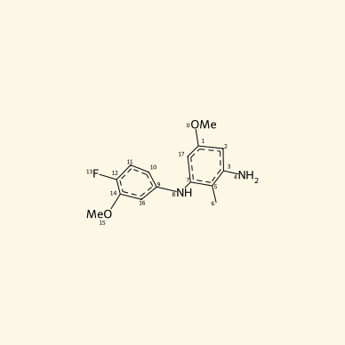 COc1cc(N)c(C)c(Nc2ccc(F)c(OC)c2)c1